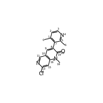 Cc1ccnc(C)c1-c1cc2cnc(Cl)cc2n(C)c1=O